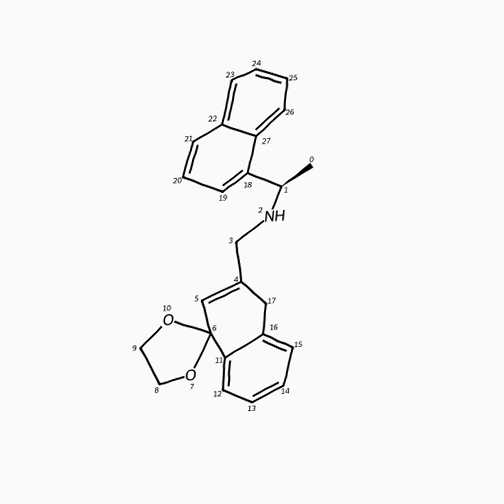 C[C@@H](NCC1=CC2(OCCO2)c2ccccc2C1)c1cccc2ccccc12